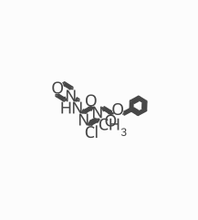 Cc1c(Cl)nc(NCN2CCOCC2)c(=O)n1CC(=O)OCc1ccccc1